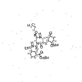 C=CCO/N=C1/CN(C(=O)N[C@H](CC)c2cccc(C(=O)OC(C)(C)C)c2)C(=O)[C@H](Cc2cc(Cl)ccc2OC)CN1